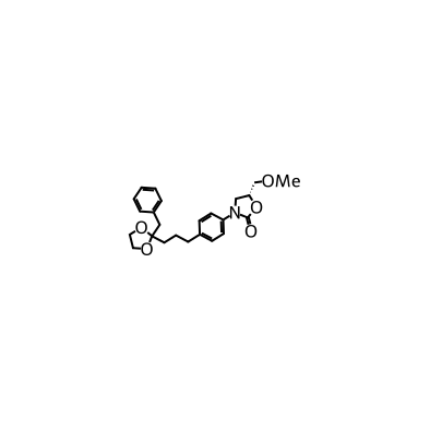 COC[C@H]1CN(c2ccc(CCCC3(Cc4ccccc4)OCCO3)cc2)C(=O)O1